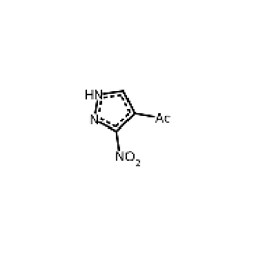 CC(=O)c1c[nH]nc1[N+](=O)[O-]